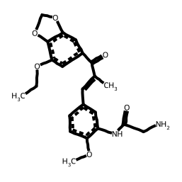 CCOc1cc(C(=O)C(C)=Cc2ccc(OC)c(NC(=O)CN)c2)cc2c1OCO2